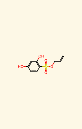 C=CCOS(=O)(=O)c1ccc(O)cc1O